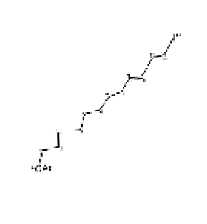 CC(=O)OCCCCCCCC/C=C/CCI